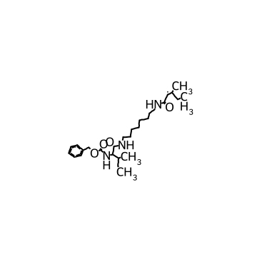 CCC(C)[CH]C(=O)NCCCCCCCCNC(=O)C(NC(=O)OCc1ccccc1)C(C)CC